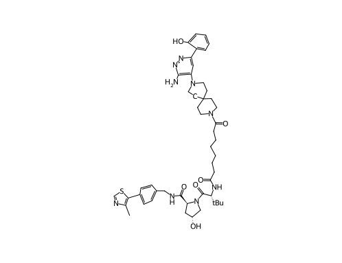 Cc1ncsc1-c1ccc(CNC(=O)[C@@H]2C[C@@H](O)CN2C(=O)[C@H](NC(=O)CCCCCCC(=O)N2CCC3(CC2)CCN(c2cc(-c4ccccc4O)nnc2N)CC3)C(C)(C)C)cc1